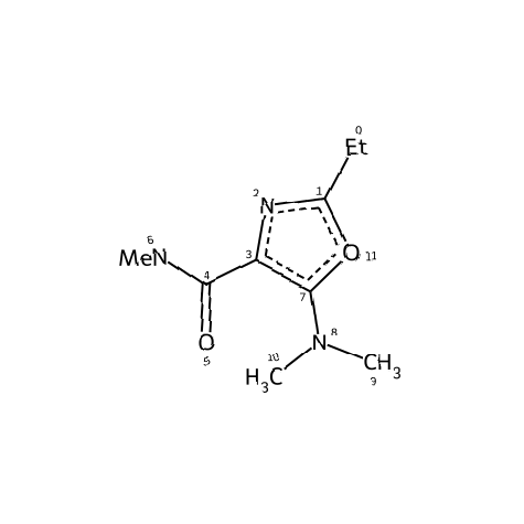 CCc1nc(C(=O)NC)c(N(C)C)o1